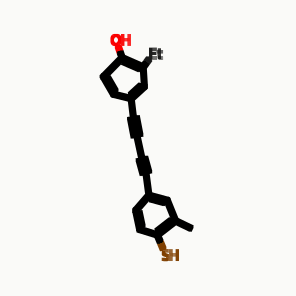 CCc1cc(C#CC#Cc2ccc(S)c(C)c2)ccc1O